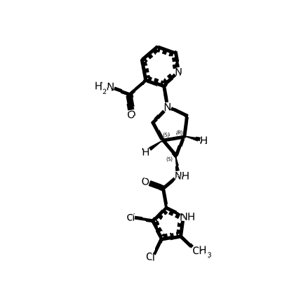 Cc1[nH]c(C(=O)N[C@H]2[C@@H]3CN(c4ncccc4C(N)=O)C[C@@H]32)c(Cl)c1Cl